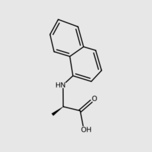 C[C@@H](Nc1cccc2ccccc12)C(=O)O